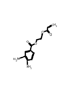 C=CC(=O)OCCOC(=O)c1ccc(N)c(N)c1